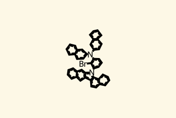 Brc1c(N(c2ccc3ccccc3c2)c2ccc3ccccc3c2)cccc1-n1c2cc3ccccc3cc2c2ccc3ccccc3c21